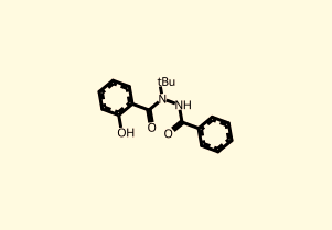 CC(C)(C)N(NC(=O)c1ccccc1)C(=O)c1ccccc1O